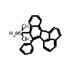 C[Si](C)(C)c1c(-c2ccccc2)c2c(c3ccccc13)-c1cccc3cccc-2c13